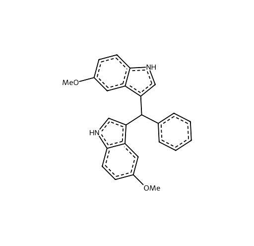 COc1ccc2[nH]cc(C(c3ccccc3)c3c[nH]c4ccc(OC)cc34)c2c1